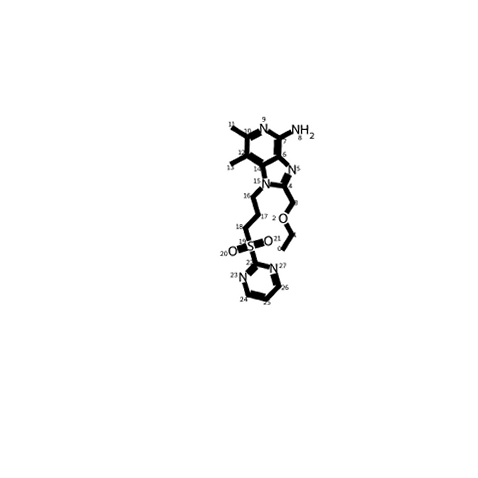 CCOCc1nc2c(N)nc(C)c(C)c2n1CCCS(=O)(=O)c1ncccn1